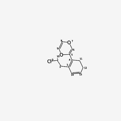 ClCCC1=C(C2=COC=CO2)CCC=C1